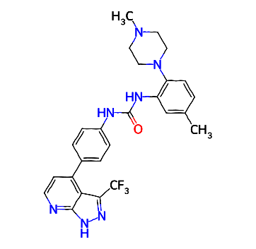 Cc1ccc(N2CCN(C)CC2)c(NC(=O)Nc2ccc(-c3ccnc4[nH]nc(C(F)(F)F)c34)cc2)c1